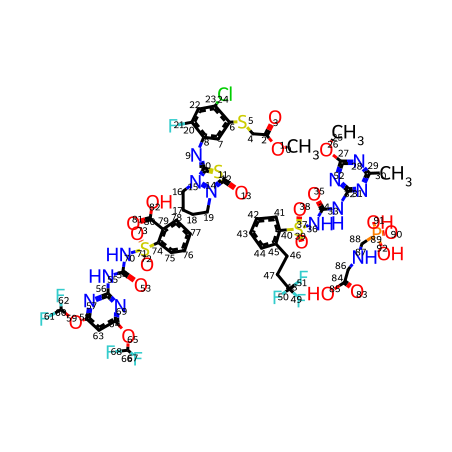 COC(=O)CSc1cc(/N=c2\sc(=O)n3n2CCCC3)c(F)cc1Cl.COc1nc(C)nc(NC(=O)NS(=O)(=O)c2ccccc2CCC(F)(F)F)n1.O=C(Nc1nc(OC(F)F)cc(OC(F)F)n1)NS(=O)(=O)c1ccccc1C(=O)O.O=C(O)CNCP(=O)(O)O